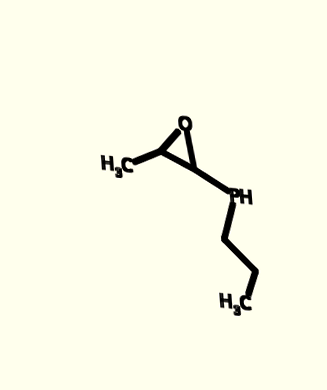 CCCPC1OC1C